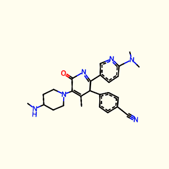 CNC1CCN(C2=C(C)C(c3ccc(C#N)cc3)C(c3ccc(N(C)C)nc3)=NC2=O)CC1